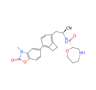 Cn1c(=O)oc2ccc(-c3ccc(C[C@@H](C#N)NC(=O)[C@@H]4CNCCCO4)c4c3CC4)cc21